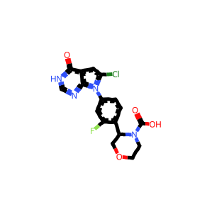 O=C(O)N1CCOCC1c1ccc(-n2c(Cl)cc3c(=O)[nH]cnc32)cc1F